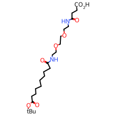 CC(C)(C)OC(=O)CCCCCCCCC(=O)NCCOCCOCCNC(=O)CCC(=O)O